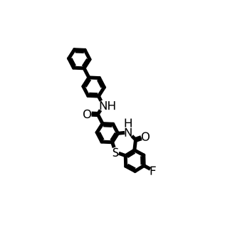 O=C(Nc1ccc(-c2ccccc2)cc1)c1ccc2c(c1)NC(=O)c1cc(F)ccc1S2